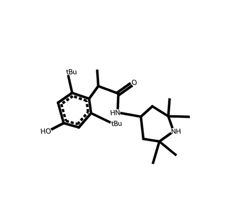 CC(C(=O)NC1CC(C)(C)NC(C)(C)C1)c1c(C(C)(C)C)cc(O)cc1C(C)(C)C